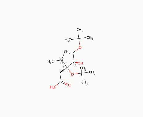 C[SiH](C)[C@@](CC(=O)O)(OC(C)(C)C)[C@H](O)COC(C)(C)C